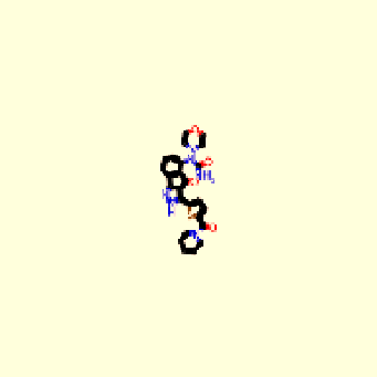 NC(=O)N(c1cccc2c1C(=O)c1c-2n[nH]c1-c1ccc(C(=O)N2CCCCC2)s1)N1CCOCC1